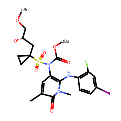 CCCCOC[C@@H](O)CC1(S(=O)(=O)N(C(=O)OC(C)(C)C)c2cc(C)c(=O)n(C)c2Nc2ccc(I)cc2F)CC1